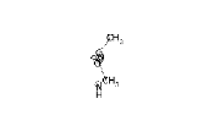 C1=CC=CNC=C1.CCCCCCCCOC(=O)c1ccccc1C(=O)OCCCCCCCC